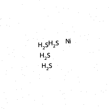 S.S.S.S.[Ni]